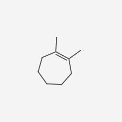 [CH2]C1=C(C)CCCCC1